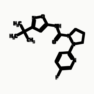 CC(C)(C)c1cc(NC(=O)N2CCCN2c2ccc(F)cn2)on1